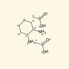 CC(=O)O.CC(=O)O.NC1CCCCC1N